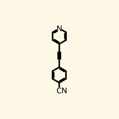 N#Cc1ccc(C#Cc2ccncc2)cc1